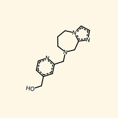 OCc1ccnc(CN2CCCn3ccnc3C2)c1